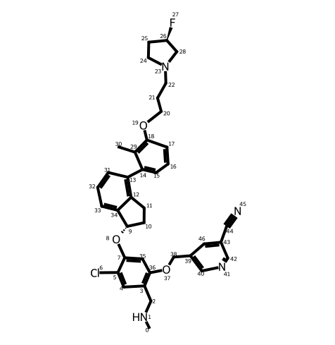 CNCc1cc(Cl)c(O[C@H]2CCc3c(-c4cccc(OCCCN5CC[C@@H](F)C5)c4C)cccc32)cc1OCc1cncc(C#N)c1